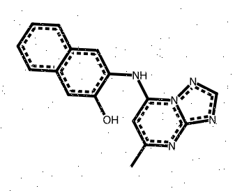 Cc1cc(Nc2cc3ccccc3cc2O)n2ncnc2n1